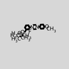 COc1ccc(N2CCN(c3cccc(CO[Si](C)(C)C(C)(C)C)c3F)CC2)cc1